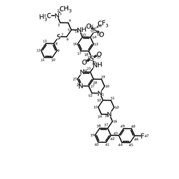 CN(C)CCC(CSc1ccccc1)Nc1ccc(S(=O)(=O)Nc2ncnc3c2CCN(C2CCN(Cc4ccccc4-c4ccc(F)cc4)CC2)C3)cc1S(=O)(=O)C(F)(F)F